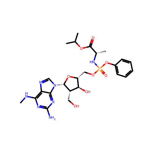 CNc1nc(N)nc2c1ncn2[C@@H]1O[C@H](COP(=O)(N[C@@H](C)C(=O)OC(C)C)Oc2ccccc2)[C@@H](O)[C@@H]1CO